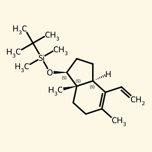 C=CC1=C(C)CC[C@]2(C)[C@@H](O[Si](C)(C)C(C)(C)C)CC[C@@H]12